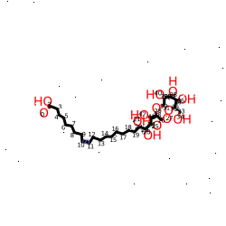 O=C(O)CCCCCCC/C=C\CCCCCCCCC(O)[C@H](O)[C@H]1OC(=O)C(OC2O[C@H](CO)[C@@H](O)[C@H](O)[C@H]2O)=C1O